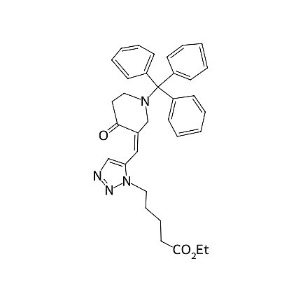 CCOC(=O)CCCCn1nncc1C=C1CN(C(c2ccccc2)(c2ccccc2)c2ccccc2)CCC1=O